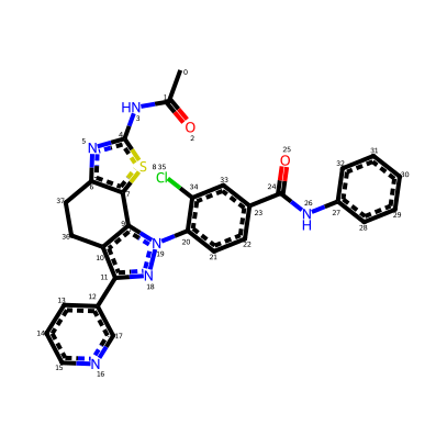 CC(=O)Nc1nc2c(s1)-c1c(c(-c3cccnc3)nn1-c1ccc(C(=O)Nc3ccccc3)cc1Cl)CC2